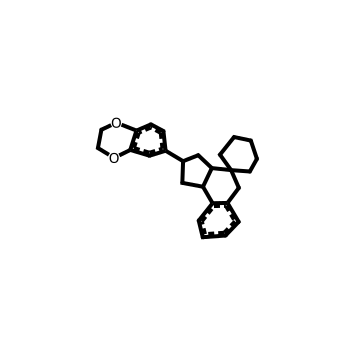 c1ccc2c(c1)CC1(CCCCC1)C1CC(c3ccc4c(c3)OCCO4)CC21